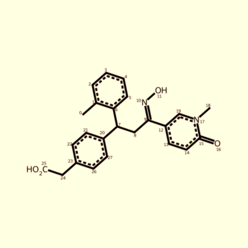 Cc1ccccc1C(C/C(=N/O)c1ccc(=O)n(C)c1)c1ccc(CC(=O)O)cc1